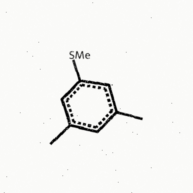 CSc1[c]c(C)cc(C)c1